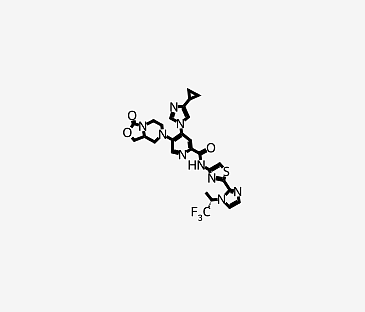 C[C@H](n1ccnc1-c1nc(NC(=O)c2cc(-n3cnc(C4CC4)c3)c(N3CCN4C(=O)OCC4C3)cn2)cs1)C(F)(F)F